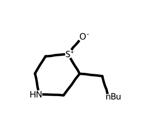 CCCCCC1CNCC[S+]1[O-]